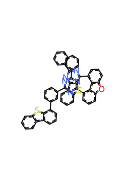 c1ccc(-c2nc(-c3cccc(-c4cccc5c4sc4ccccc45)c3)nc(-c3cccc4oc5cccc(-c6nc(-c7ccccc7)nc7c6sc6ccccc67)c5c34)n2)cc1